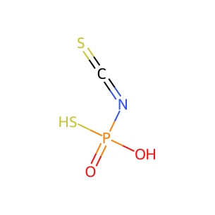 O=P(O)(S)N=C=S